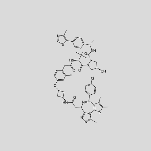 Cc1ncsc1-c1ccc([C@H](C)NC(=O)[C@@H]2C[C@@H](O)CN2C(=O)[C@@H](NC(=O)Cc2ccc(O[C@H]3C[C@H](NC(=O)C[C@@H]4N=C(c5ccc(Cl)cc5)c5c(sc(C)c5C)-n5c(C)nnc54)C3)cc2F)C(C)(C)C)cc1